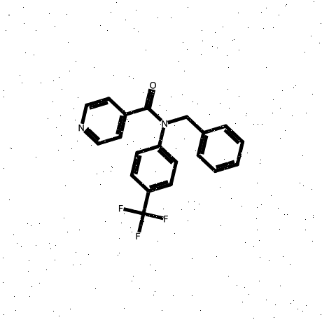 O=C(c1ccncc1)N(Cc1ccccc1)c1ccc(C(F)(F)F)cc1